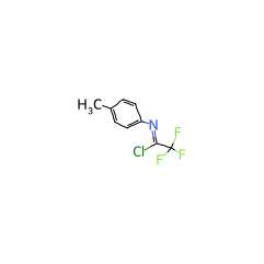 Cc1ccc(/N=C(\Cl)C(F)(F)F)cc1